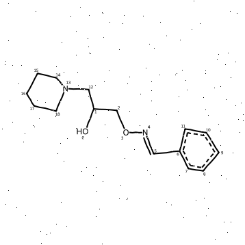 OC(CON=Cc1ccccc1)CN1CCCCC1